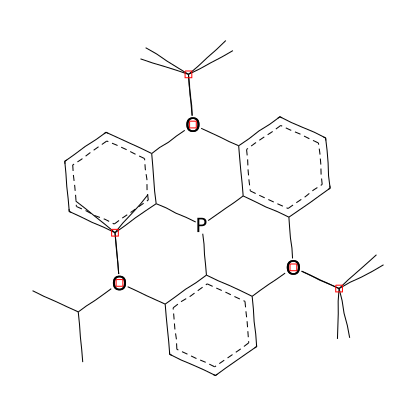 CC(C)Oc1cccc(OC(C)C)c1P(c1c(OC(C)C)cccc1OC(C)C)c1c(OC(C)C)cccc1OC(C)C